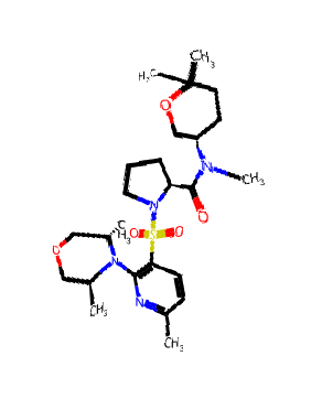 Cc1ccc(S(=O)(=O)N2CCC[C@H]2C(=O)N(C)[C@@H]2CCC(C)(C)OC2)c(N2[C@@H](C)COC[C@@H]2C)n1